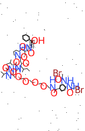 CCC(C)C(C(CC(=O)N1CCCC1C(OC)C(C)C(=O)N[C@@H](C)[C@H](O)c1ccccc1)OC)N(C)C(=O)C(NC(=O)C(C(C)C)N(C)C(=O)COCCOCCOCCOCCNC(=O)c1ccc(NC(=O)CBr)c(NC(=O)CBr)c1)C(C)C